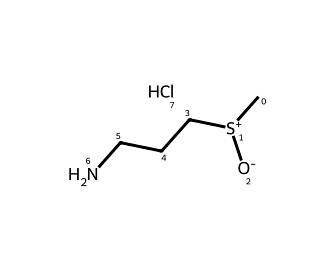 C[S+]([O-])CCCN.Cl